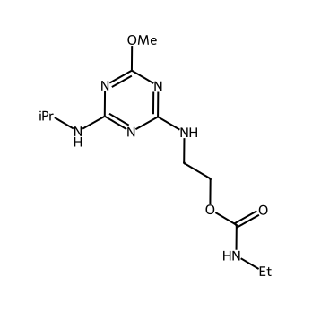 CCNC(=O)OCCNc1nc(NC(C)C)nc(OC)n1